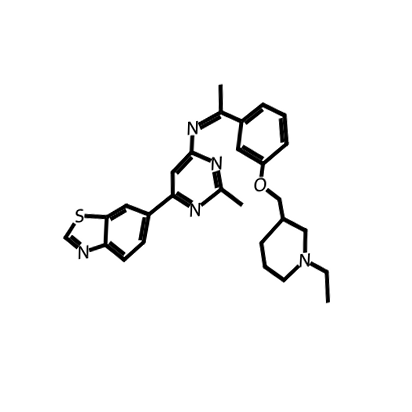 CCN1CCCC(COc2cccc(C(C)=Nc3cc(-c4ccc5ncsc5c4)nc(C)n3)c2)C1